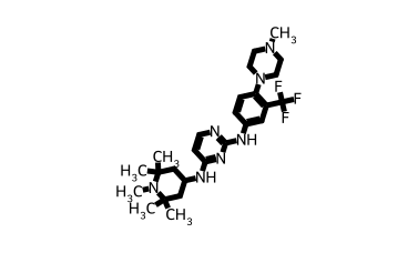 CN1CCN(c2ccc(Nc3nccc(NC4CC(C)(C)N(C)C(C)(C)C4)n3)cc2C(F)(F)F)CC1